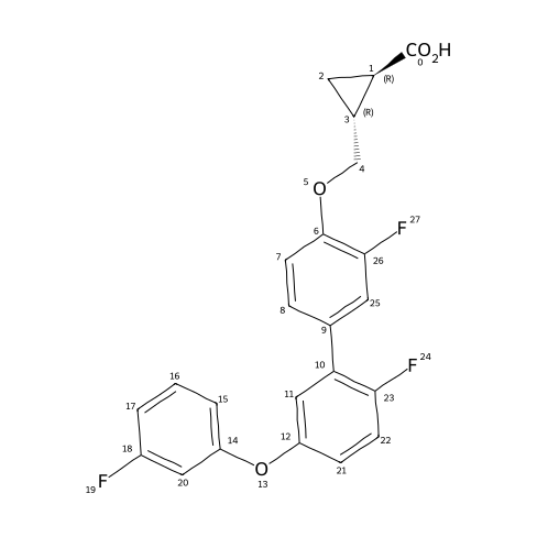 O=C(O)[C@@H]1C[C@H]1COc1ccc(-c2cc(Oc3cccc(F)c3)ccc2F)cc1F